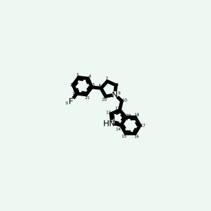 Fc1cccc(C2CCN(Cc3c[nH]c4ccccc34)C2)c1